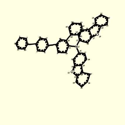 c1ccc(-c2ccc(-c3ccc(N(c4ccc5c(c4)oc4ccccc45)c4ccc5c(c4)oc4ccccc45)c(-c4ccccc4)c3)cc2)cc1